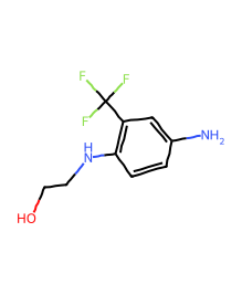 Nc1ccc(NCCO)c(C(F)(F)F)c1